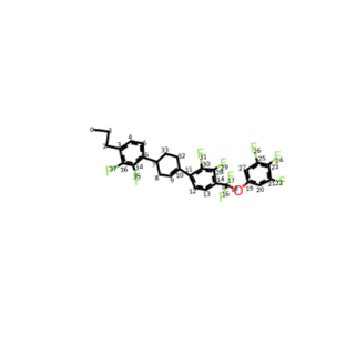 CCCc1ccc(C2CC=C(c3ccc(C(F)(F)Oc4cc(F)c(F)c(F)c4)c(F)c3F)CC2)c(F)c1F